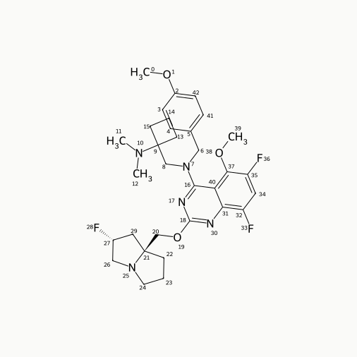 COc1ccc(CN(CC2(N(C)C)CCC2)c2nc(OC[C@@]34CCCN3C[C@H](F)C4)nc3c(F)cc(F)c(OC)c23)cc1